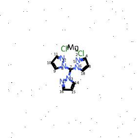 [Cl][Mn][Cl].c1cnn(C(n2cccn2)n2cccn2)c1